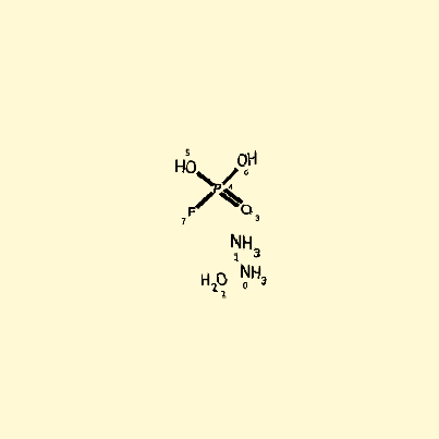 N.N.O.O=P(O)(O)F